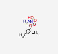 Cc1ccc(COC(=O)N(N)C(=O)O)c(C)c1